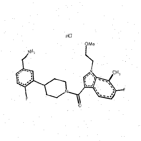 COCCn1cc(C(=O)N2CCC(c3cc(CN)ccc3F)CC2)c2ccc(F)c(C)c21.Cl